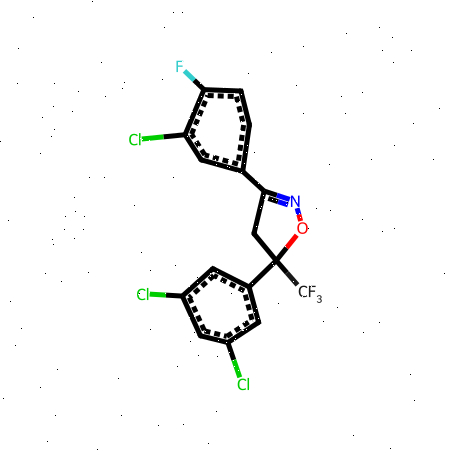 Fc1ccc(C2=NOC(c3cc(Cl)cc(Cl)c3)(C(F)(F)F)C2)cc1Cl